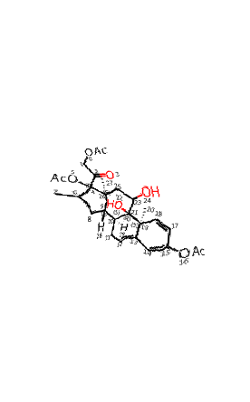 CC(=O)OCC(=O)[C@@]1(OC(C)=O)C(C)C[C@H]2[C@@H]3CC=C4C=C(OC(C)=O)C=C[C@]4(C)[C@@]3(O)C(O)C[C@@]21C